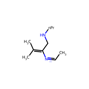 C/C=N\C(CNCCC)=C(C)C